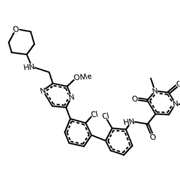 COc1nc(-c2cccc(-c3cccc(NC(=O)c4cn(C)c(=O)n(C)c4=O)c3Cl)c2Cl)cnc1CNC1CCOCC1